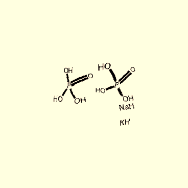 O=P(O)(O)O.O=P(O)(O)O.[KH].[NaH]